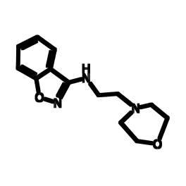 c1ccc2c(NCCN3CCOCC3)noc2c1